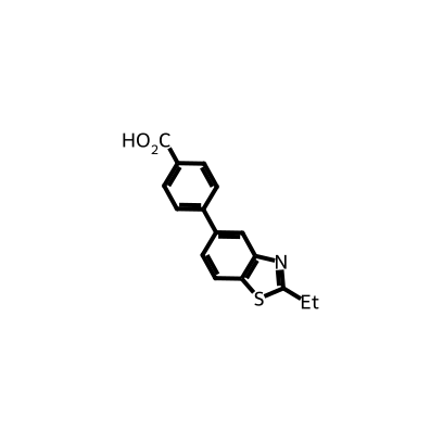 CCc1nc2cc(-c3ccc(C(=O)O)cc3)ccc2s1